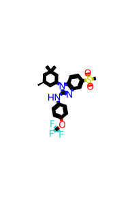 C[C@@H]1CC(n2c(Nc3ccc(OC(F)(F)F)cc3)nc3cc(S(C)(=O)=O)ccc32)CC(C)(C)C1